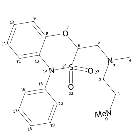 CNCCN(C)CC1Oc2ccccc2N(c2ccccc2)S1(=O)=O